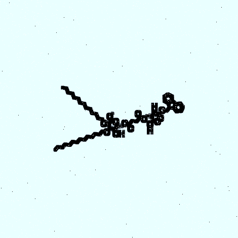 CCCCCCCCCCCCCCO[C@H]1[C@@H](OC)O[C@H](COC(=O)CCC(=O)OC[C@H](NC(=O)OCC2c3ccccc3-c3ccccc32)C(=O)O)[C@@H](O)[C@@H]1OCCCCCCCCCCCCCC